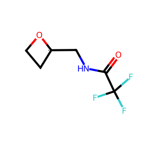 O=C(NC[C]1CCO1)C(F)(F)F